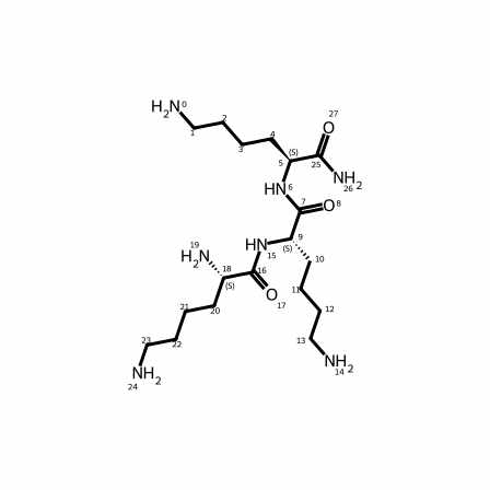 NCCCC[C@H](NC(=O)[C@H](CCCCN)NC(=O)[C@@H](N)CCCCN)C(N)=O